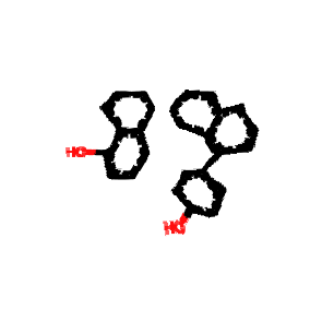 Oc1ccc(-c2cccc3ccccc23)cc1.Oc1cccc2ccccc12